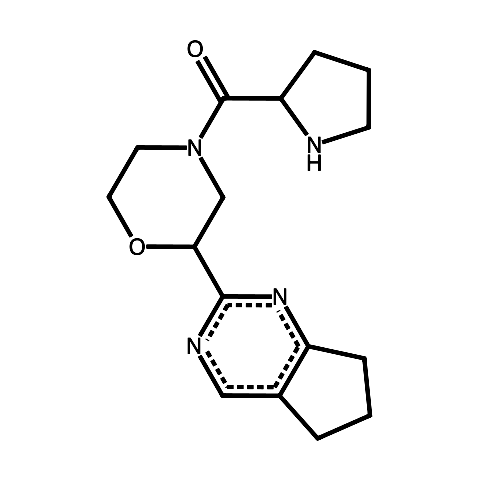 O=C(C1CCCN1)N1CCOC(c2ncc3c(n2)CCC3)C1